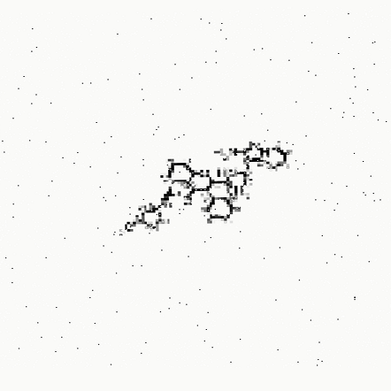 C[C@H](NC(=O)c1c(N)nn2cccnc12)c1oc2cccc(C#Cc3cnn(C)c3)c2c(=O)c1-c1ccccc1